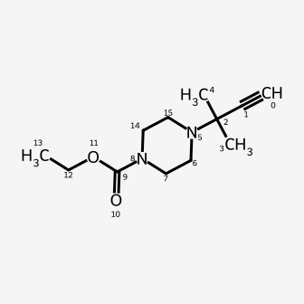 C#CC(C)(C)N1CCN(C(=O)OCC)CC1